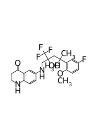 COc1ccc(F)cc1C(C)(C)CC(O)(CNc1ccc2c(c1)C(=O)CCN2)C(F)(F)F